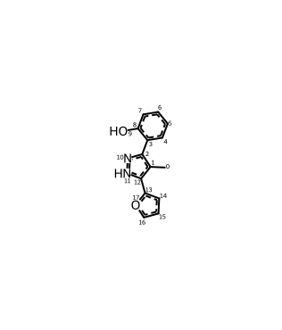 Cc1c(-c2ccccc2O)n[nH]c1-c1ccco1